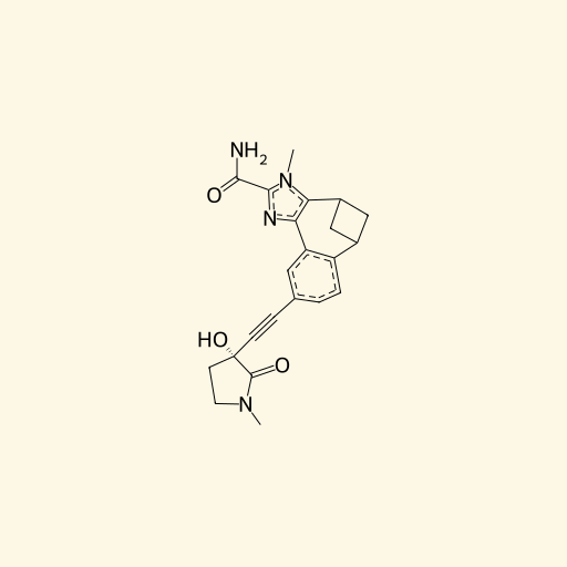 CN1CC[C@@](O)(C#Cc2ccc3c(c2)-c2nc(C(N)=O)n(C)c2C2CC3C2)C1=O